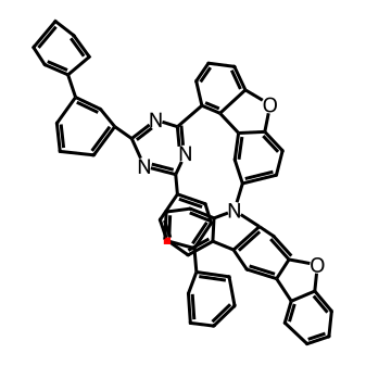 c1ccc(-c2ccc(-c3nc(-c4cccc(-c5ccccc5)c4)nc(-c4cccc5oc6ccc(-n7c8ccccc8c8cc9c(cc87)oc7ccccc79)cc6c45)n3)cc2)cc1